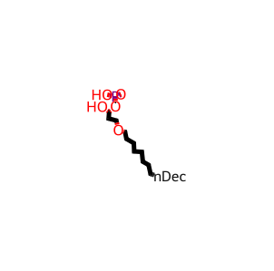 CCCCCCCCCCCCCCCCCCOCCC(O)O[P](=O)O